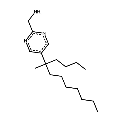 CCCCCCCC(C)(CCCC)c1cnc(CN)nc1